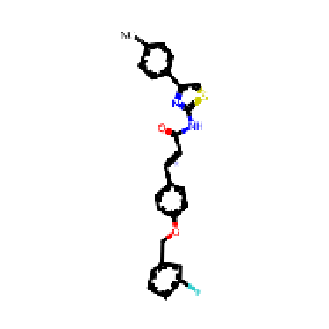 N#Cc1ccc(-c2csc(NC(=O)/C=C/c3ccc(OCc4cccc(F)c4)cc3)n2)cc1